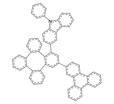 c1ccc(-n2c3ccccc3c3cc(-c4cc(-c5ccc6c7ccccc7c7ccccc7c6c5)cc5c4-c4ccccc4-c4ccccc4-c4ccccc4-5)ccc32)cc1